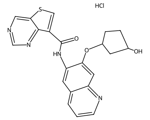 Cl.O=C(Nc1cc2cccnc2cc1OC1CCC(O)C1)c1csc2cncnc12